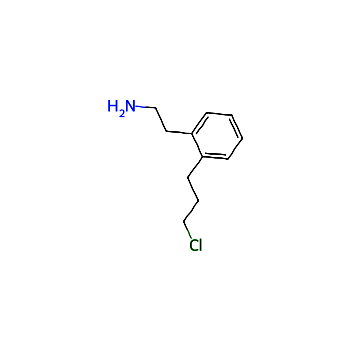 NCCc1ccccc1CCCCl